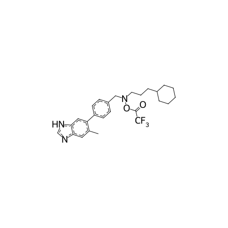 Cc1cc2nc[nH]c2cc1-c1ccc(CN(CCCC2CCCCC2)OC(=O)C(F)(F)F)cc1